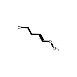 CO/C=C/CCCl